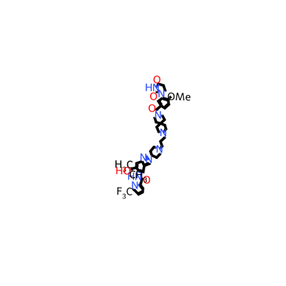 COc1ccc(C(=O)N2CCC3(CCN(CCCN4CCC(n5cc6cc(NC(=O)c7cccc(C(F)(F)F)n7)c(C(C)(C)O)cc6n5)CC4)CC3)CC2)cc1N1CCC(=O)NC1=O